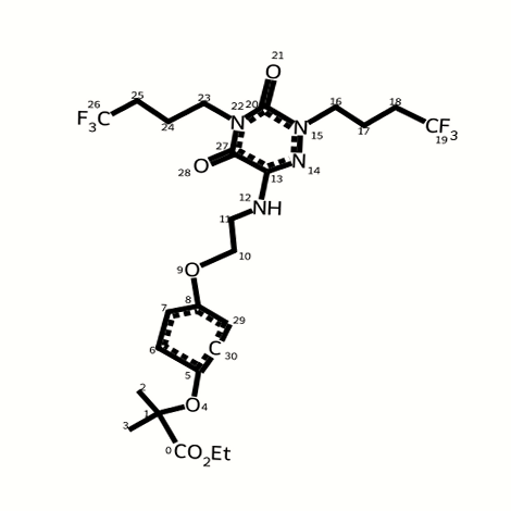 CCOC(=O)C(C)(C)Oc1ccc(OCCNc2nn(CCCC(F)(F)F)c(=O)n(CCCC(F)(F)F)c2=O)cc1